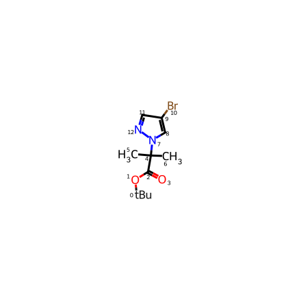 CC(C)(C)OC(=O)C(C)(C)n1cc(Br)cn1